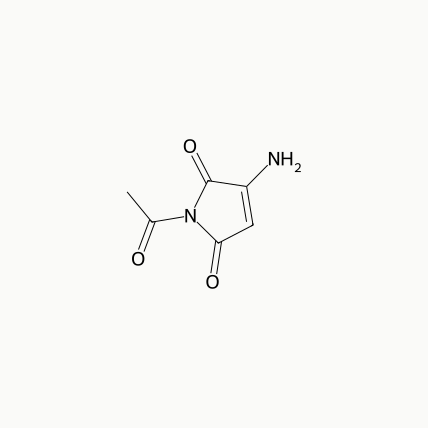 CC(=O)N1C(=O)C=C(N)C1=O